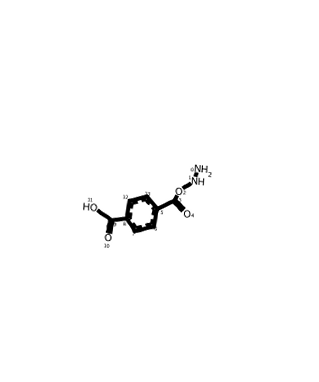 NNOC(=O)c1ccc(C(=O)O)cc1